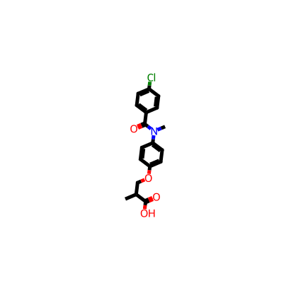 CC(COc1ccc(N(C)C(=O)c2ccc(Cl)cc2)cc1)C(=O)O